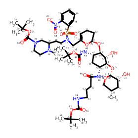 C[C@@H]1CO[C@H](O[C@@H]2[C@@H](O)[C@H](O[C@@H]3CCC=C(CN(CCC4CN(C(=O)OC(C)(C)C)CCN4C)S(=O)(=O)c4ccccc4[N+](=O)[O-])O3)[C@@H](NC(=O)OC(C)(C)C)C[C@H]2NC(=O)CCCNC(=O)OC(C)(C)C)[C@H](O)C1